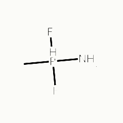 C[PH](N)(F)F